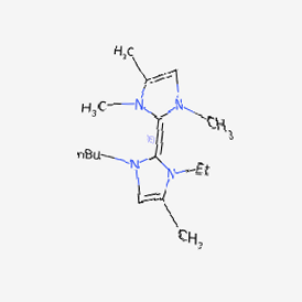 CCCCN1C=C(C)N(CC)/C1=C1\N(C)C=C(C)N1C